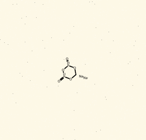 O=[PH]1OCO[PH](=O)O1.[Na].[Na]